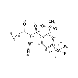 CS(=O)(=O)c1cc(S(F)(F)(F)(F)F)ccc1C(=O)C(C#N)C(=O)C1CC1